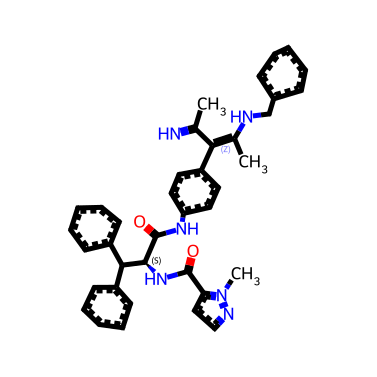 CC(=N)/C(=C(/C)NCc1ccccc1)c1ccc(NC(=O)[C@@H](NC(=O)c2ccnn2C)C(c2ccccc2)c2ccccc2)cc1